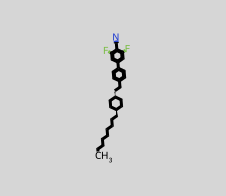 CCCCCCCCC[C@H]1CC[C@H](CCc2ccc(-c3cc(F)c(C#N)c(F)c3)cc2)CC1